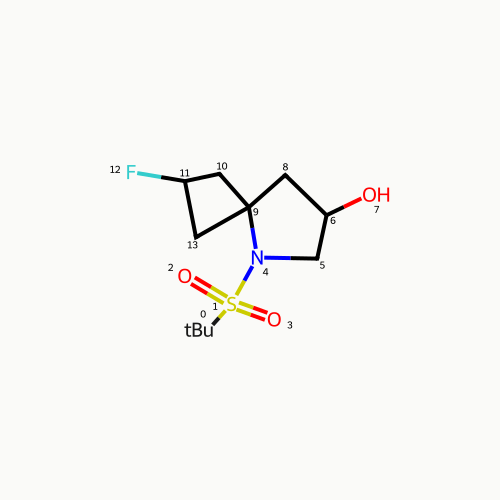 CC(C)(C)S(=O)(=O)N1CC(O)CC12CC(F)C2